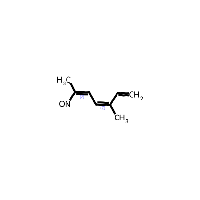 C=C/C(C)=C\C=C(\C)N=O